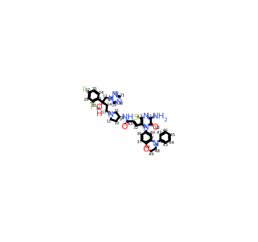 Nc1nc2sc(C(=O)N[C@@H]3CCN(CCC(O)(Cn4cncn4)c4ccc(F)cc4F)C3)cc2n(-c2ccc3c(c2)N(c2ccccc2)CCO3)c1=O